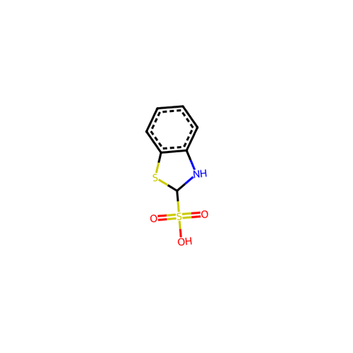 O=S(=O)(O)C1Nc2ccccc2S1